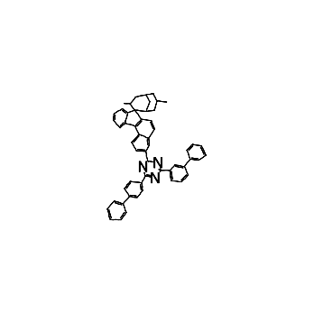 CC1CC2CC(C)C3(c4ccccc4-c4c3ccc3cc(-c5nc(-c6ccc(-c7ccccc7)cc6)nc(-c6cccc(-c7ccccc7)c6)n5)ccc43)C(C1)C2